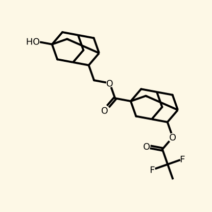 CC(F)(F)C(=O)OC1C2CC3CC1CC(C(=O)OCC1C4CC5CC1CC(O)(C5)C4)(C3)C2